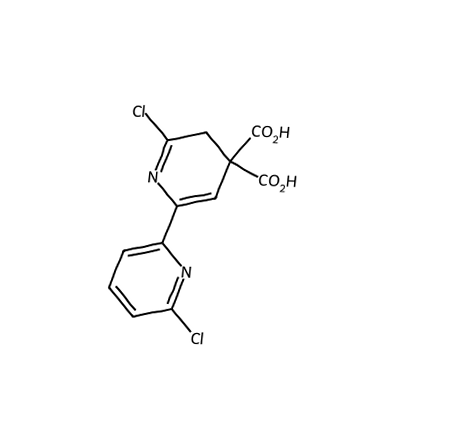 O=C(O)C1(C(=O)O)C=C(c2cccc(Cl)n2)N=C(Cl)C1